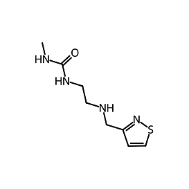 CNC(=O)NCCNCc1ccsn1